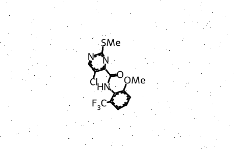 COc1cccc(C(F)(F)F)c1NC(=O)c1nc(SC)ncc1Cl